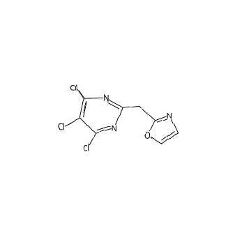 Clc1nc(Cc2ncco2)nc(Cl)c1Cl